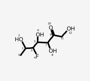 CC(O)C(F)C(O)C(O)C(=O)CO